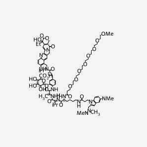 CC[C@@]1(O)C(=O)OCc2c1cc1n(c2=O)Cc2cc3c(CN(C(=O)OCc4ccc(NC(=O)[C@H](C)NC(=O)[C@@H](NC(=O)[C@H](CCCCNC(=O)CCn5c(CN(C)NC)cc6cc(NC)ccc65)NC(=O)CCOCCOCCOCCOCCOCCOCCOCCOC)C(C)C)c(O[C@@H]5O[C@H](C(=O)O)[C@@H](O)[C@H](O)[C@H]5O)c4)C(C)C)c(O)ccc3nc2-1